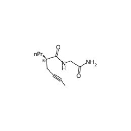 CC#CC[C@@H](CCC)C(=O)NCC(N)=O